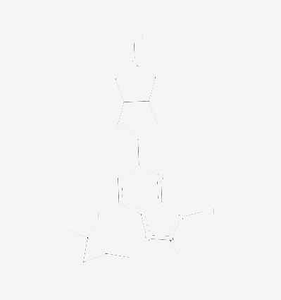 CN1CC2C=C(c3ccc4c(n3)n(C)c(=O)n4CC3CC3(F)F)CC2C1